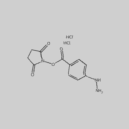 Cl.Cl.NNc1ccc(C(=O)ON2C(=O)CCC2=O)cc1